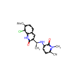 COc1ccc2cc([C@H](C)Nc3ccc(C#N)n(C)c3=O)c(=O)[nH]c2c1Cl